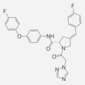 O=C(Nc1ccc(Oc2ccc(F)cc2)cc1)[C@@H]1C/C(=C\c2ccc(F)cc2)CN1C(=O)Cn1cncn1